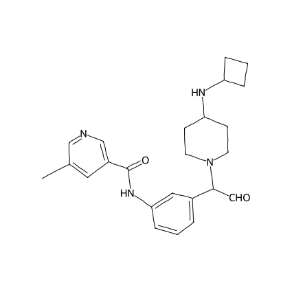 Cc1cncc(C(=O)Nc2cccc(C(C=O)N3CCC(NC4CCC4)CC3)c2)c1